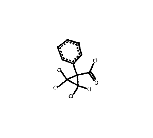 O=C(Cl)C1(c2ccccc2)C(Cl)(Cl)C1(Cl)Cl